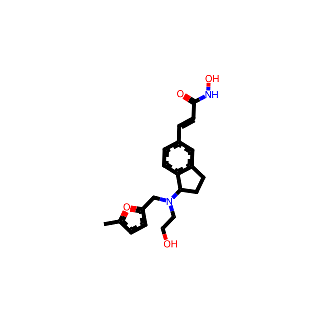 Cc1ccc(CN(CCO)C2CCc3cc(C=CC(=O)NO)ccc32)o1